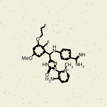 COc1cc(OCCF)c(F)c(C(Nc2ccc(C(=N)N)cc2)c2nn(-c3c(N)ccc[n+]3C)c(=O)[nH]2)c1